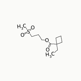 CCC1(C(=O)OCCCS(C)(=O)=O)CCC1